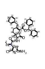 C/N=C(\C(=O)N[C@@H]1C(=O)N2C(C(=O)OC(c3ccccc3)c3ccccc3)=C(Sc3ccncc3)CC[C@H]12)c1nc(N)sc1Cl